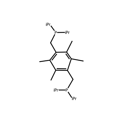 Cc1c(C)c(CP(C(C)C)C(C)C)c(C)c(C)c1CP(C(C)C)C(C)C